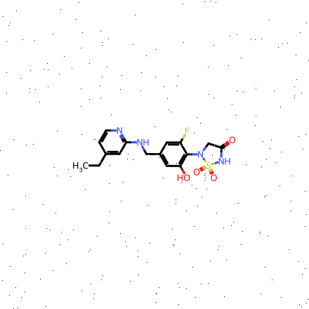 CCc1ccnc(NCc2cc(O)c(N3CC(=O)NS3(=O)=O)c(F)c2)c1